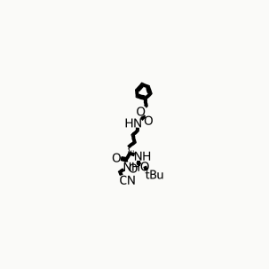 CC(C)(C)OC(=O)N[C@@H](CCCCNC(=O)OCc1ccccc1)C(=O)NCC#N